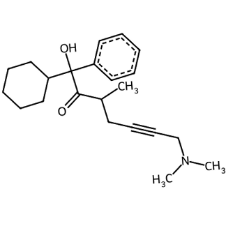 CC(CC#CCN(C)C)C(=O)C(O)(c1ccccc1)C1CCCCC1